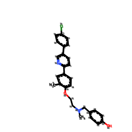 Cc1cc(-c2ccc(-c3ccc(Cl)cc3)cn2)ccc1OCCN(C)Cc1ccc(O)cc1